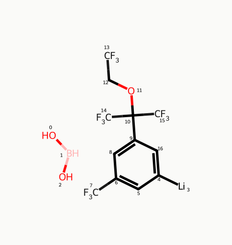 OBO.[Li][c]1cc(C(F)(F)F)cc(C(OCC(F)(F)F)(C(F)(F)F)C(F)(F)F)c1